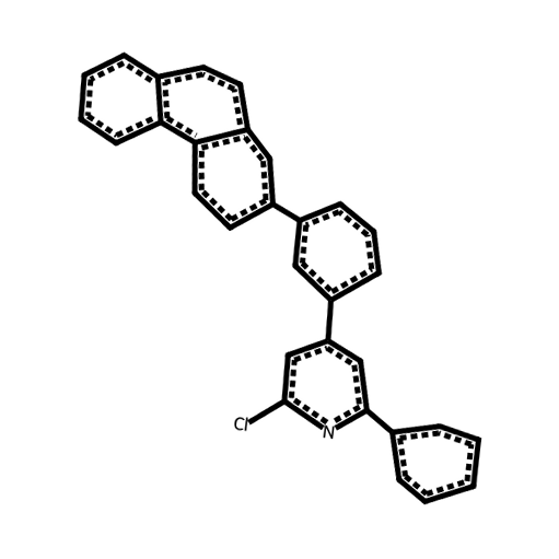 Clc1cc(-c2cccc(-c3ccc4c(ccc5ccccc54)c3)c2)cc(-c2ccccc2)n1